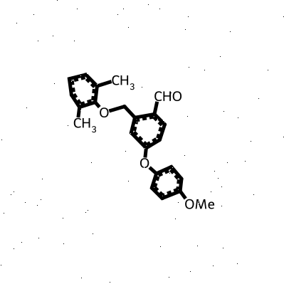 COc1ccc(Oc2ccc(C=O)c(COc3c(C)cccc3C)c2)cc1